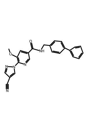 COc1cc(C(=O)NCc2ccc(-c3ccccc3)cc2)cnc1-n1cc(C#N)cn1